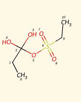 CCC(O)(O)OS(=O)(=O)CC